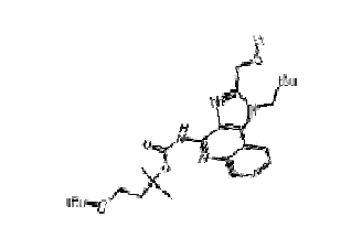 CCOCc1nc2c(NC(=O)OC(C)(C)CCOC(C)(C)C)nc3ccccc3c2n1CC(C)(C)C